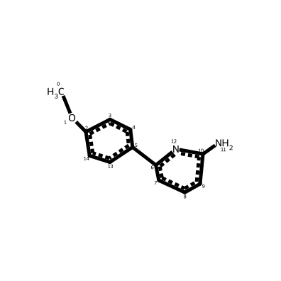 COc1ccc(-c2cccc(N)n2)cc1